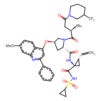 C=C[C@@H]1C[C@]1(NC(=O)[C@@H]1C[C@@H](Oc2cc(-c3ccccc3)nc3cc(OC)ccc23)CN1C(=O)[C@@H](CC(=O)N1CCCC(C(F)(F)F)C1)C(C)(C)C)C(=O)NS(=O)(=O)C1CC1